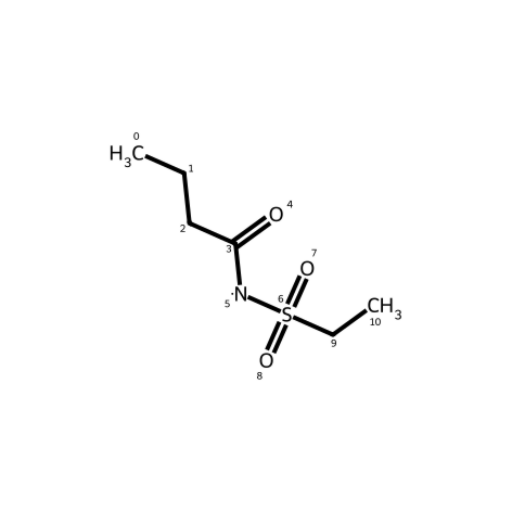 CCCC(=O)[N]S(=O)(=O)CC